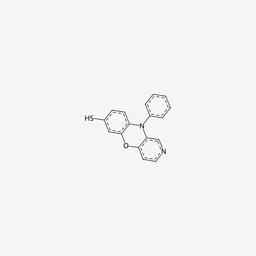 Sc1ccc2c(c1)Oc1ccncc1N2c1ccccc1